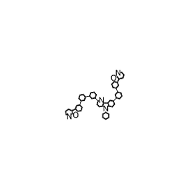 c1ccc(-n2c3ccc(-c4cccc(-c5ccc6oc7ncccc7c6c5)c4)cc3c3nc(-c4cccc(-c5cccc(-c6ccc7oc8ncccc8c7c6)c5)c4)ccc32)cc1